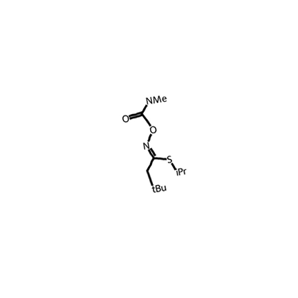 CNC(=O)ON=C(CC(C)(C)C)SC(C)C